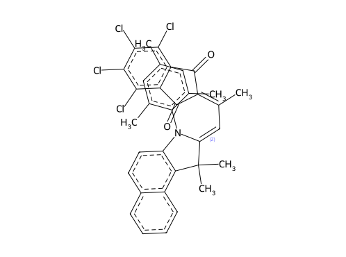 CC(/C=C1\N(c2c(C)cc(C)cc2C)c2ccc3ccccc3c2C1(C)C)=C1C(=O)c2c(Cl)c(Cl)c(Cl)c(Cl)c2C1=O